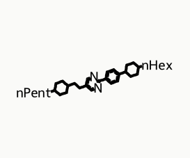 CCCCCCC1CCC(c2ccc(-c3ncc(CCC4CCC(CCCCC)CC4)cn3)cc2)CC1